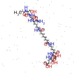 CCC(=O)NC(CO)C(=O)NCC(=O)NC(CCCCNC(=O)CCCCCCC(=O)NCCCC[C@H](NC(=O)N[C@@H](CCC(=O)O)C(=O)O)C(=O)O)C(N)=O